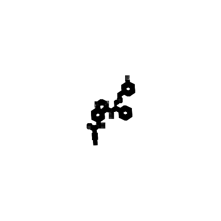 CC#CC(=O)Nc1ccc2ncnc(N[C@H](COCc3cccc(F)c3)c3ccccc3)c2c1